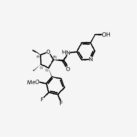 COc1c([C@@H]2[C@H](C)[C@@H](C)O[C@H]2C(=O)Nc2cncc(CO)c2)ccc(F)c1F